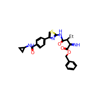 CCC(C(=N)C(=O)OCc1ccccc1)C(=O)Nc1nc(-c2ccc(C(=O)NC3CC3)cc2)cs1